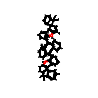 CC1(C)c2ccccc2-c2c1ccc1oc3c(-c4c5ccccc5c(-c5cccc6c5oc5ccc7c(c56)-c5ccccc5C7(C)C)c5ccccc45)cccc3c21